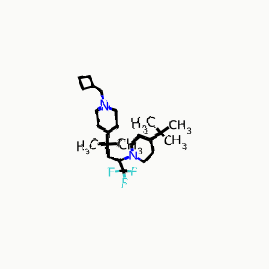 CC(C)(C)C1CCN(C(CC(C)(C)C2CCN(CC3CCC3)CC2)C(F)(F)F)CC1